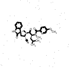 COc1ccc(C(=O)N(C)[C@@H](CC(C)C)C(=O)N2C[C@]3(C[C@H]2C#N)C(=O)Nc2ccccc23)nc1